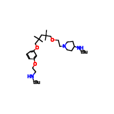 CC(C)(COCCN1CCC(NC(C)(C)C)CC1)CC(C)(C)COc1cccc(OCCNC(C)(C)C)c1